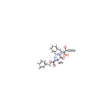 COC(=O)[C@H](O)[C@H](Cc1ccccc1)NC(=O)[C@@H](NC(=O)OCc1ccccc1)C(C)C